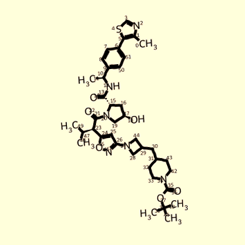 Cc1ncsc1-c1ccc([C@H](C)NC(=O)[C@@H]2C[C@@H](O)CN2C(=O)[C@@H](c2cc(N3CC(CC4CCN(C(=O)OC(C)(C)C)CC4)C3)no2)C(C)C)cc1